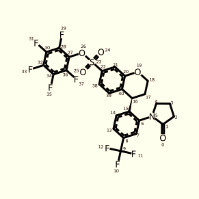 O=C1CCCN1c1cc(C(F)(F)F)ccc1[C@@H]1CCOc2cc(S(=O)(=O)Oc3c(F)c(F)c(F)c(F)c3F)ccc21